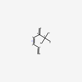 C=C/C=C\C(=C)C(C)(C)C